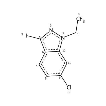 FC(F)(F)Cn1nc(I)c2ccc(Cl)cc21